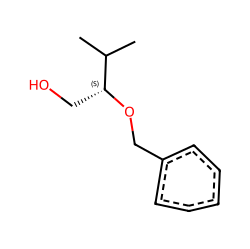 CC(C)[C@@H](CO)OCc1ccccc1